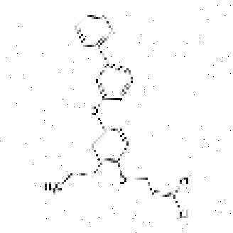 CCCc1cc(Oc2cccc(-c3ccccc3)c2)ccc1OCC=C(Cl)Cl